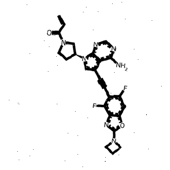 C=CC(=O)N1CC[C@H](n2cc(C#Cc3c(F)cc4oc(N5CCC5)nc4c3F)c3c(N)ncnc32)C1